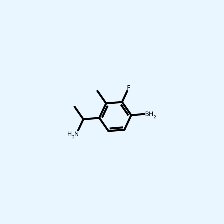 Bc1ccc(C(C)N)c(C)c1F